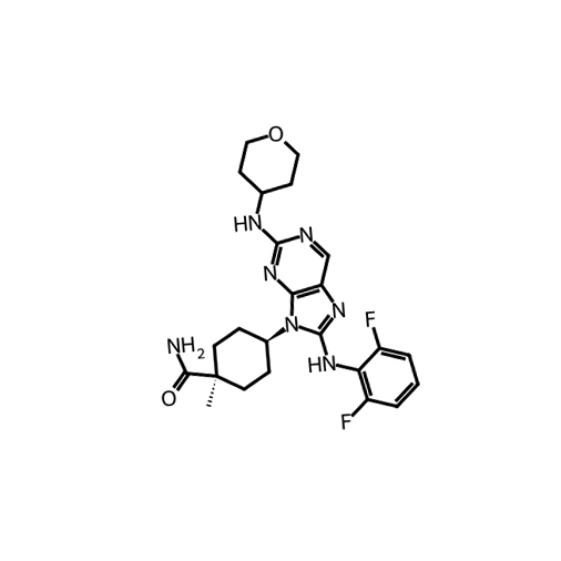 C[C@]1(C(N)=O)CC[C@@H](n2c(Nc3c(F)cccc3F)nc3cnc(NC4CCOCC4)nc32)CC1